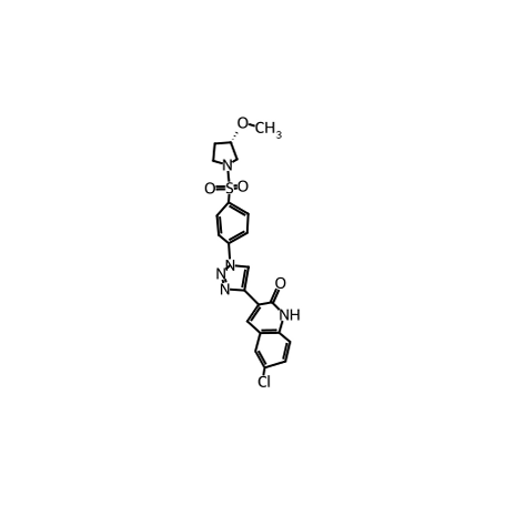 CO[C@H]1CCN(S(=O)(=O)c2ccc(-n3cc(-c4cc5cc(Cl)ccc5[nH]c4=O)nn3)cc2)C1